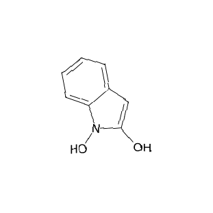 Oc1cc2ccccc2n1O